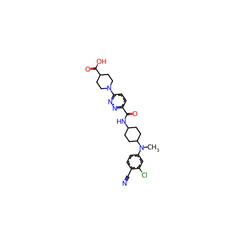 CN(c1ccc(C#N)c(Cl)c1)C1CCC(NC(=O)c2ccc(N3CCC(C(=O)O)CC3)nn2)CC1